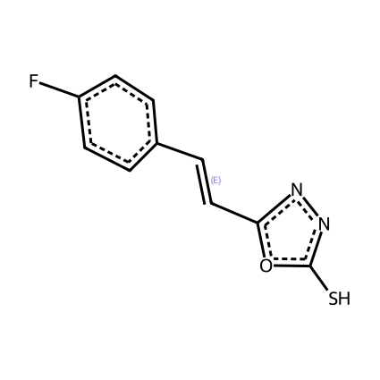 Fc1ccc(/C=C/c2nnc(S)o2)cc1